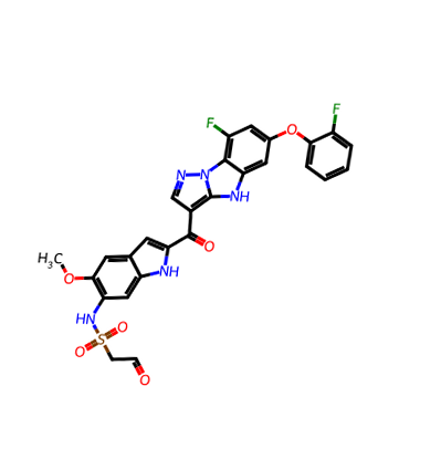 COc1cc2cc(C(=O)c3cnn4c3[nH]c3cc(Oc5ccccc5F)cc(F)c34)[nH]c2cc1NS(=O)(=O)CC=O